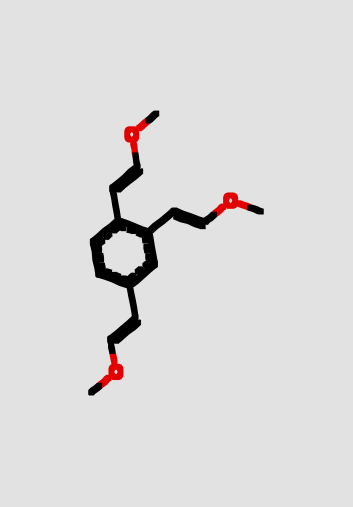 COC=Cc1ccc(C=COC)c(C=COC)c1